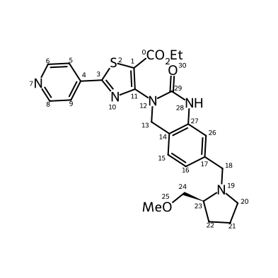 CCOC(=O)c1sc(-c2ccncc2)nc1N1Cc2ccc(CN3CCC[C@H]3COC)cc2NC1=O